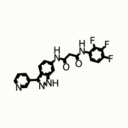 O=C(CC(=O)Nc1ccc(F)c(F)c1F)Nc1ccc2c(-c3cccnc3)n[nH]c2c1